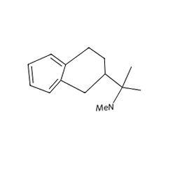 CNC(C)(C)C1CCc2ccccc2C1